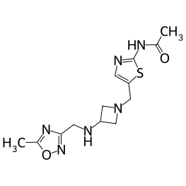 CC(=O)Nc1ncc(CN2CC(NCc3noc(C)n3)C2)s1